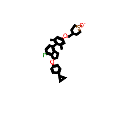 Cc1cc(OCC2CC[S+]([O-])CC2)cc(C)c1-c1ccc(F)c2c1CCC2Oc1ccc(C2CC2)cc1